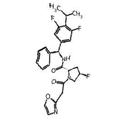 CC(C)c1c(F)cc([C@@H](NC(=O)[C@@H]2C[C@@H](F)CN2C(=O)Cc2ncco2)c2ccccc2)cc1F